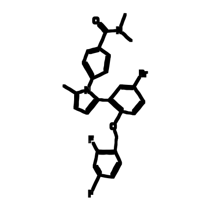 Cc1ccc(-c2cc(Br)ccc2OCc2ccc(F)cc2F)n1-c1ccc(C(=O)N(C)C)cc1